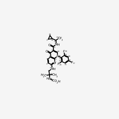 CC(C)(CNc1ccc2c(=O)c(C(=O)NC(C3CC3)C(F)(F)F)cn(-c3c(F)cc(F)cc3F)c2n1)NC(=O)O